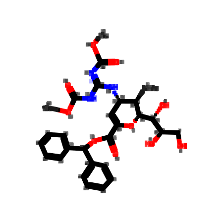 CC(=O)N[C@H]1[C@H]([C@H](O)[C@H](O)CO)OC(C(=O)OC(c2ccccc2)c2ccccc2)=C[C@@H]1N/C(=N\C(=O)OC(C)(C)C)NC(=O)OC(C)(C)C